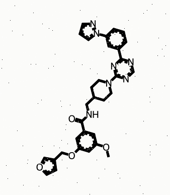 COc1cc(OCc2ccoc2)cc(C(=O)NCC2CCN(c3ncnc(-c4cccc(-n5cccn5)c4)n3)CC2)c1